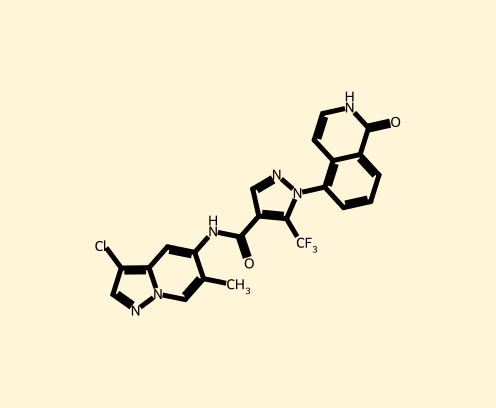 Cc1cn2ncc(Cl)c2cc1NC(=O)c1cnn(-c2cccc3c(=O)[nH]ccc23)c1C(F)(F)F